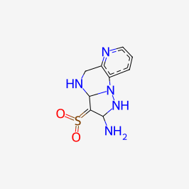 NC1NN2c3cccnc3CNC2C1=S(=O)=O